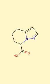 O=C(O)C1CCCc2ccnn21